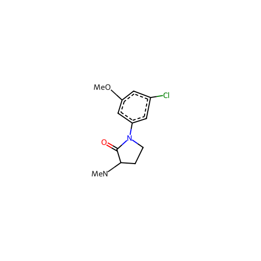 CNC1CCN(c2cc(Cl)cc(OC)c2)C1=O